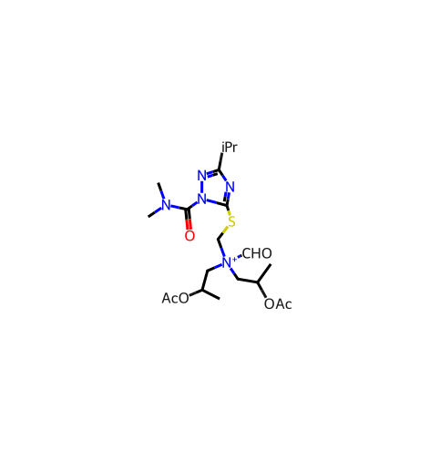 CC(=O)OC(C)C[N+](C=O)(CSc1nc(C(C)C)nn1C(=O)N(C)C)CC(C)OC(C)=O